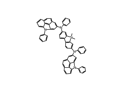 C[Si]1(C)c2cc(N(c3ccccc3)c3cc4ccc5cccc6c5c4c(c3)n6-c3ccccc3)ccc2-c2ccc(N(c3ccccc3)c3cc4ccc5cccc6c5c4c(c3)n6-c3ccccc3)cc21